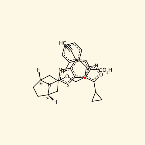 C#Cc1cc(C(=O)O)cc2sc(N3[C@@H]4CC[C@H]3CC(OCc3c(-c5ccccc5F)noc3C3CC3)C4)nc12